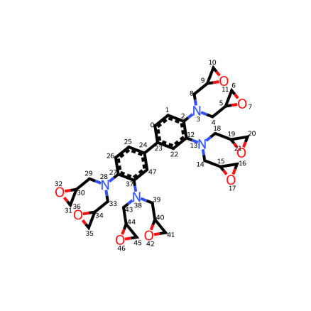 c1cc(N(CC2CO2)CC2CO2)c(N(CC2CO2)CC2CO2)cc1-c1ccc(N(CC2CO2)CC2CO2)c(N(CC2CO2)CC2CO2)c1